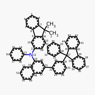 CC1(C)c2ccccc2-c2cc(N(c3ccccc3)c3cc(-c4cccc(C5(c6ccccc6)c6ccccc6-c6ccccc65)c4)cc4ccccc34)ccc21